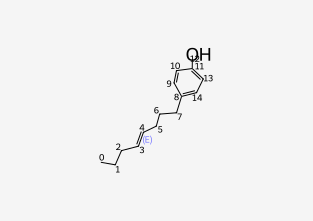 CCC/C=C/CCCc1ccc(O)cc1